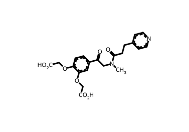 CN(CC(=O)c1ccc(OCC(=O)O)c(OCC(=O)O)c1)C(=O)CCc1ccncc1